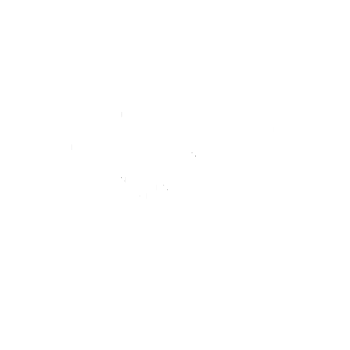 C/N=C(\c1c(Cl)cc(C(=O)OC)nc1Nc1ccc(F)cc1)C(C)C